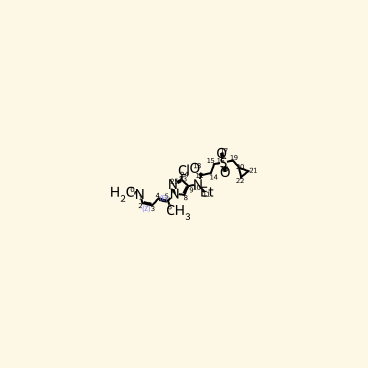 C=N/C=C\C=C(/C)n1cc(N(CC)C(=O)CCS(=O)(=O)CC2CC2)c(Cl)n1